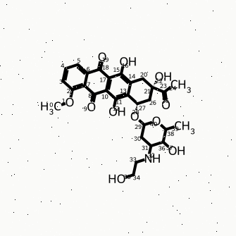 COc1cccc2c1C(=O)c1c(O)c3c(c(O)c1C2=O)C[C@@](O)(C(C)=O)C[C@@H]3OC1CC(NCCO)C(O)C(C)O1